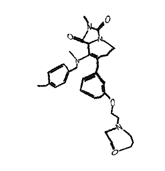 Cc1ccc(CN(C)C2=C(c3cccc(OCCN4CCOCC4)c3)CCN3C(=O)N(C)C(=O)C23)cc1